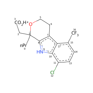 CCCC1(CC(=O)O)OCCc2c1[nH]c1c(Cl)ccc(C(F)(F)F)c21